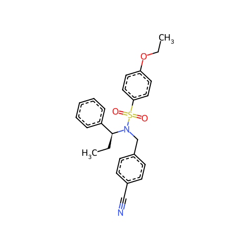 CCOc1ccc(S(=O)(=O)N(Cc2ccc(C#N)cc2)[C@@H](CC)c2ccccc2)cc1